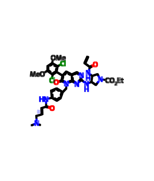 C=CC(=O)NC1CN(C(=O)OCC)CC1Nc1ncc2cc(-c3c(Cl)c(OC)cc(OC)c3Cl)c(=O)n(Cc3ccc(NC(=O)/C=C/CN(C)C)cc3)c2n1